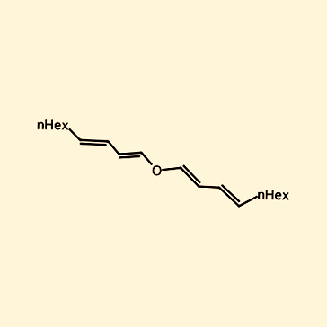 CCCCCCC=CC=COC=CC=CCCCCCC